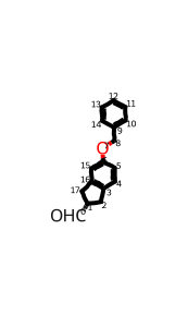 O=CC1Cc2ccc(OCc3ccccc3)cc2C1